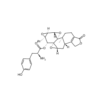 CC(C)[C@]12O[C@H]1[C@@H]1O[C@]13[C@]1(O[C@H]1C[C@H]1C4=C(CC[C@@]13C)C(=O)OC4)[C@@H]2OC(=O)[C@@H](N)Cc1ccc(O)cc1